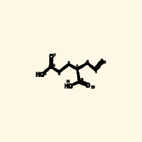 C=CCC(CCC(=O)O)C(=O)O